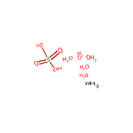 O.O.O.O.O.O=S(=O)(O)O.[InH3]